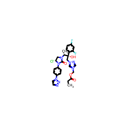 CCC(=O)OCn1cn[n+](C[C@](O)(c2ccc(F)cc2F)[C@@H](C)N2CCN(c3ccc(-n4ccnn4)cc3)C2=O)c1.[Cl-]